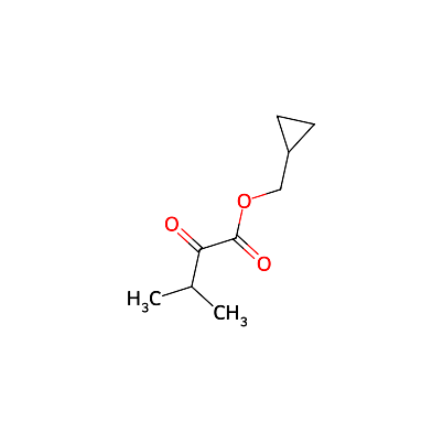 CC(C)C(=O)C(=O)OCC1CC1